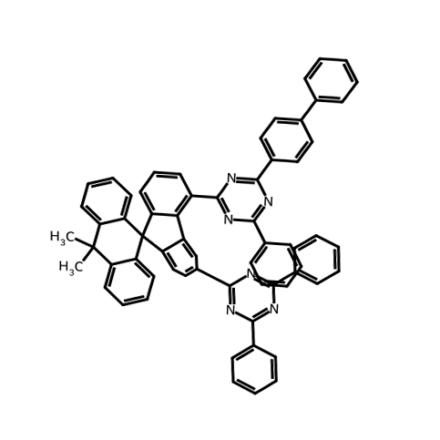 CC1(C)c2ccccc2C2(c3ccc(-c4nc(-c5ccccc5)nc(-c5ccccc5)n4)cc3-c3c(-c4nc(-c5ccccc5)nc(-c5ccc(-c6ccccc6)cc5)n4)cccc32)c2ccccc21